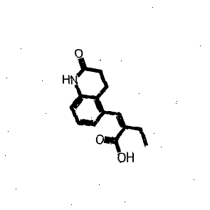 CCC(=Cc1cccc2c1CCC(=O)N2)C(=O)O